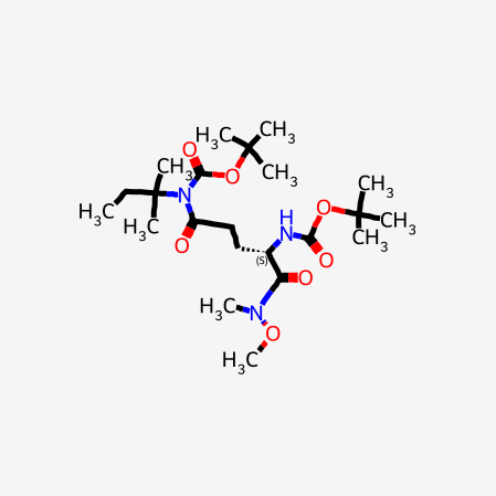 CCC(C)(C)N(C(=O)CC[C@H](NC(=O)OC(C)(C)C)C(=O)N(C)OC)C(=O)OC(C)(C)C